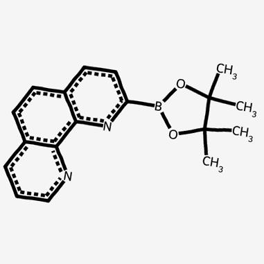 CC1(C)OB(c2ccc3ccc4cccnc4c3n2)OC1(C)C